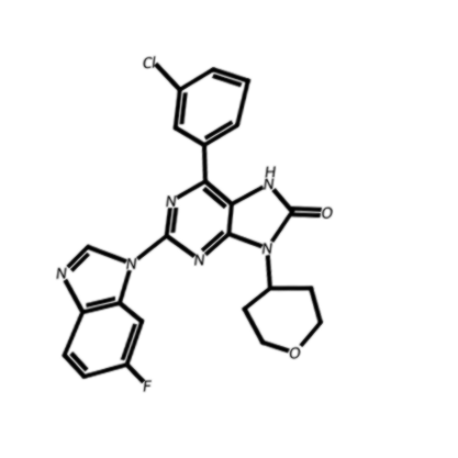 O=c1[nH]c2c(-c3cccc(Cl)c3)nc(-n3cnc4ccc(F)cc43)nc2n1C1CCOCC1